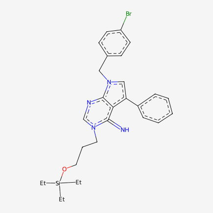 CC[Si](CC)(CC)OCCCn1cnc2c(c(-c3ccccc3)cn2Cc2ccc(Br)cc2)c1=N